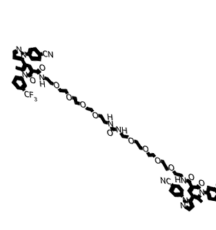 Cc1c(-c2ccnn2-c2ccc(C#N)cc2)cc(C(=O)NCCOCCOCCOCCOCCNC(=O)NCCOCCOCCOCCOCCNC(=O)c2cc(-c3ccnn3-c3ccc(C#N)cc3)c(C)n(-c3cccc(C(F)(F)F)c3)c2=O)c(=O)n1-c1cccc(C(F)(F)F)c1